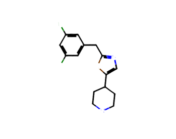 Fc1cc(F)cc(Cc2ncc(C3CCNCC3)s2)c1